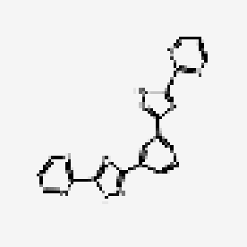 c1cnc(-c2nc(-c3cccc(-c4n[nH]c(-c5ncccn5)n4)c3)n[nH]2)nc1